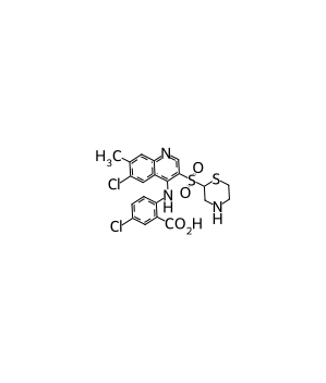 Cc1cc2ncc(S(=O)(=O)C3CNCCS3)c(Nc3ccc(Cl)cc3C(=O)O)c2cc1Cl